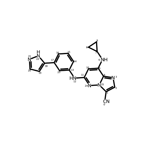 N#Cc1cnc2c(NC3CC3)cc(Nc3cccc(-c4ccn[nH]4)c3)nn12